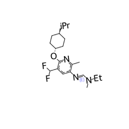 CCN(C)/C=N/c1cc(C(F)F)c(O[C@H]2CC[C@H](C(C)C)CC2)nc1C